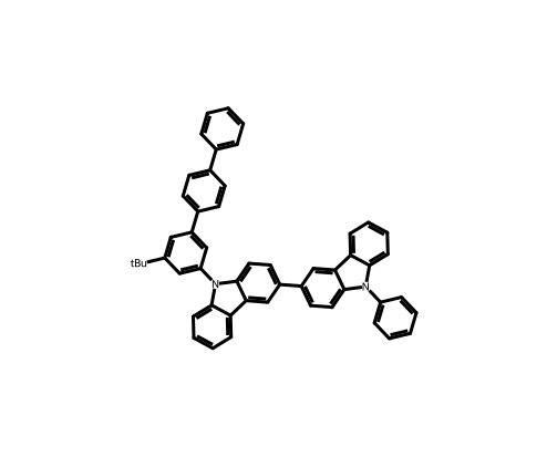 CC(C)(C)c1cc(-c2ccc(-c3ccccc3)cc2)cc(-n2c3ccccc3c3cc(-c4ccc5c(c4)c4ccccc4n5-c4ccccc4)ccc32)c1